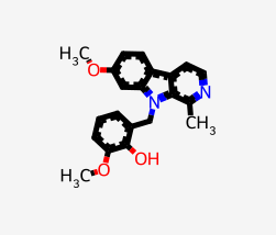 COc1ccc2c3ccnc(C)c3n(Cc3cccc(OC)c3O)c2c1